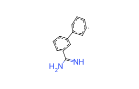 N=C(N)c1cccc(-c2c[c]ccc2)c1